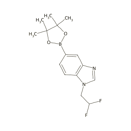 CC1(C)OB(c2ccc3c(c2)ncn3CC(F)F)OC1(C)C